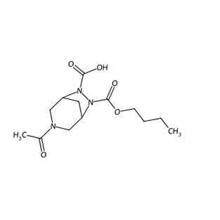 CCCCOC(=O)N1C2CC(CN(C(C)=O)C2)N1C(=O)O